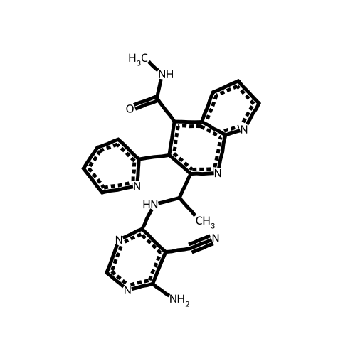 CNC(=O)c1c(-c2ccccn2)c(C(C)Nc2ncnc(N)c2C#N)nc2ncccc12